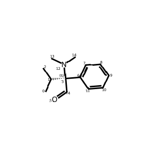 CC(C)[C@@]([C]=O)(c1ccccc1)N(C)C